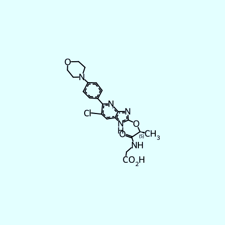 C[C@H](Oc1nc2nc(-c3ccc(N4CCOCC4)cc3)c(Cl)cc2[nH]1)C(=O)NCC(=O)O